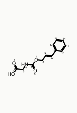 O=C(O)CNC(=O)OCC=Cc1ccccc1